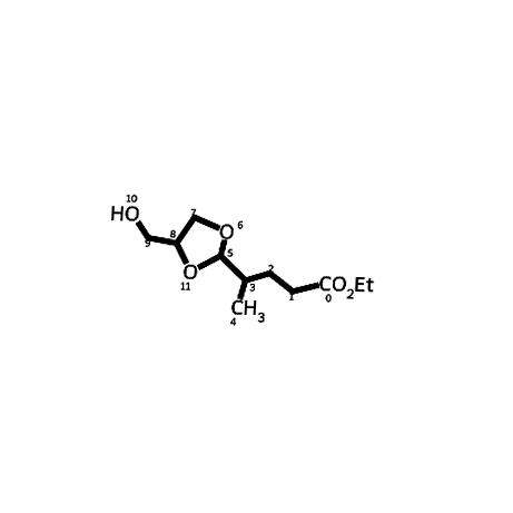 CCOC(=O)CCC(C)C1OCC(CO)O1